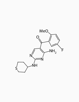 COc1ccc(F)cc1C(=O)c1cnc(NC2CCSCC2)nc1N